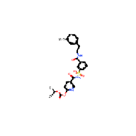 CCC(CC)OC(=O)Oc1ccc(C(=O)NS(=O)(=O)c2cccc(C(=O)NCCc3cccc(OC)c3)c2)cn1